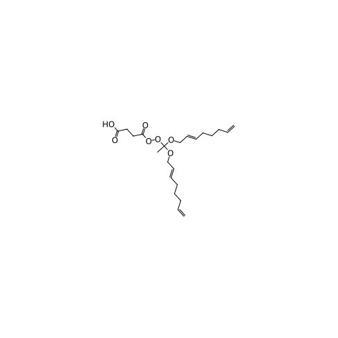 C=CCCCC=CCOC(C)(OCC=CCCCC=C)OOC(=O)CCC(=O)O